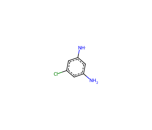 [NH]c1cc(N)cc(Cl)c1